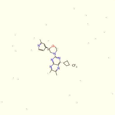 Cc1cc([C@@H]2CN(c3nc4nc(C)c(C)nc4c([C@H]4C[C@@H](C(F)(F)F)C4)n3)CCO2)ccn1